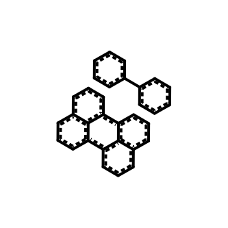 c1cc2cccc3c4cccc5cccc(c(c1)c23)c54.c1ccc(-c2ccccc2)cc1